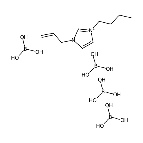 C=CCn1cc[n+](CCCC)c1.OB(O)O.OB(O)O.OB(O)O.OB(O)O